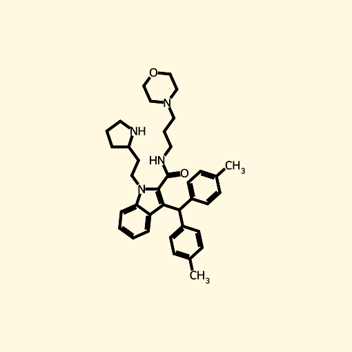 Cc1ccc(C(c2ccc(C)cc2)c2c(C(=O)NCCCN3CCOCC3)n(CCC3CCCN3)c3ccccc23)cc1